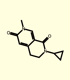 Cn1cc2c(cc1=O)CCN(C1CC1)C2=O